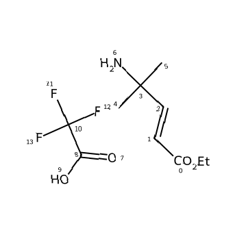 CCOC(=O)/C=C/C(C)(C)N.O=C(O)C(F)(F)F